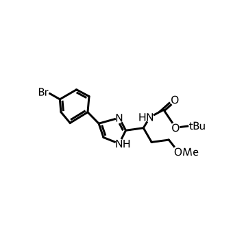 COCCC(NC(=O)OC(C)(C)C)c1nc(-c2ccc(Br)cc2)c[nH]1